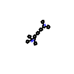 c1ccc(-c2cc(-c3ccc(-c4ccc(-c5ccc6c(c5)cc(-c5ccccc5)n5nc(-c7ccccc7)c(-c7ccccc7)c65)cc4)cc3)cc(-c3ccccc3)n2)cc1